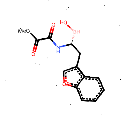 COC(=O)C(=O)N[C@H](BO)Cc1coc2ccccc12